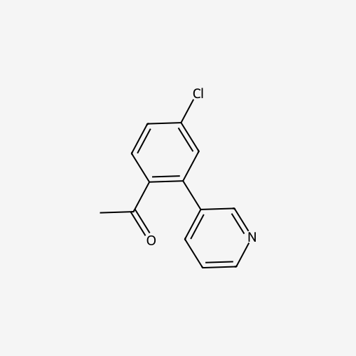 CC(=O)c1ccc(Cl)cc1-c1cccnc1